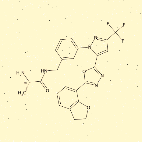 C[C@H](N)C(=O)NCc1cccc(-n2nc(C(F)(F)F)cc2-c2nnc(-c3cccc4c3OCC4)o2)c1